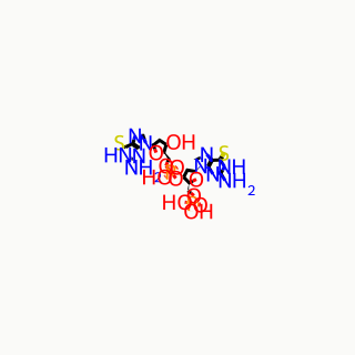 Nc1nc2c(ncn2[C@H]2CC(O)[C@@H](COP(=O)(O)OC3C[C@H](n4cnc5c(=S)[nH]c(N)nc54)O[C@@H]3COP(=O)(O)O)O2)c(=S)[nH]1